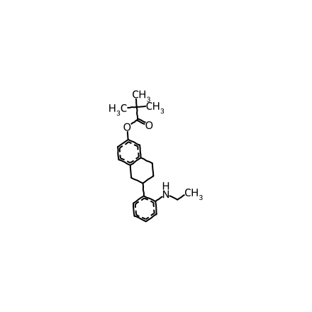 CCNc1ccccc1C1CCc2cc(OC(=O)C(C)(C)C)ccc2C1